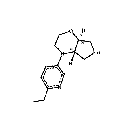 CCc1ccc(N2CCO[C@H]3CNC[C@@H]32)cn1